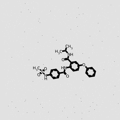 CC(C)NC(=O)c1cc(Oc2ccccc2)ccc1NC(=O)c1ccc(NS(C)(=O)=O)cc1